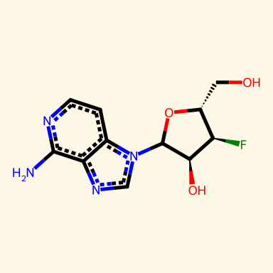 Nc1nccc2c1ncn2C1O[C@H](CO)[C@@H](F)[C@H]1O